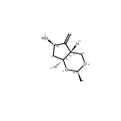 C=C1[C@H](O)C[C@@H]2O[C@H](C)OC[C@@H]12